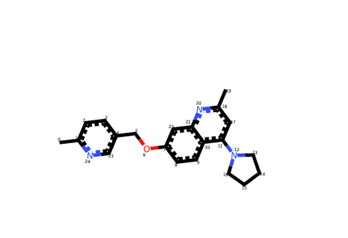 Cc1ccc(COc2ccc3c(N4CCCC4)cc(C)nc3c2)cn1